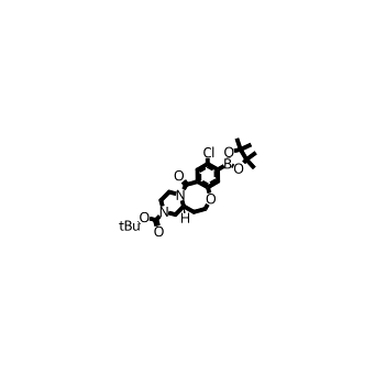 CC(C)(C)OC(=O)N1CCN2C(=O)c3cc(Cl)c(B4OC(C)(C)C(C)(C)O4)cc3OCC[C@H]2C1